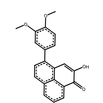 COc1ccc(-c2ccc3cccc4c3c2C=C(O)C4=O)cc1OC